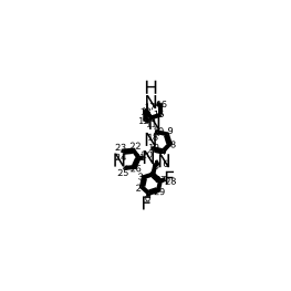 Fc1ccc(-c2nc3ccc(N4CC5CC4CN5)nc3n2-c2ccncc2)c(F)c1